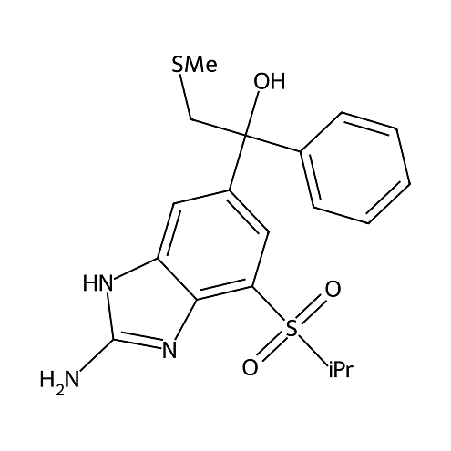 CSCC(O)(c1ccccc1)c1cc(S(=O)(=O)C(C)C)c2nc(N)[nH]c2c1